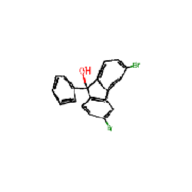 OC1(c2ccccc2)c2ccc(Br)cc2-c2cc(Br)ccc21